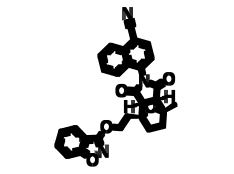 C[C@@]12CC[C@@](CCOc3noc4ccccc34)(O1)[C@H]1C(=O)N(c3ccc(C#N)c4ccccc34)C(=O)[C@H]12